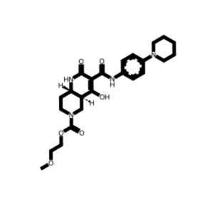 COCCOC(=O)N1CC[C@@H]2NC(=O)C(C(=O)Nc3ccc(N4CCCCC4)cc3)=C(O)[C@H]2C1